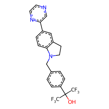 OC(c1ccc(CN2CCc3cc(-c4cnccn4)ccc32)cc1)(C(F)(F)F)C(F)(F)F